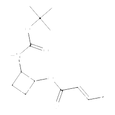 CC=CC(=O)OC1CCC1NC(=O)OC(C)(C)C